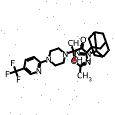 Cc1nc(C23CC4CC(C2)C(NC(=O)C(C)(C)N2CCN(c5ccc(C(F)(F)F)cn5)CC2)C(C4)C3)no1